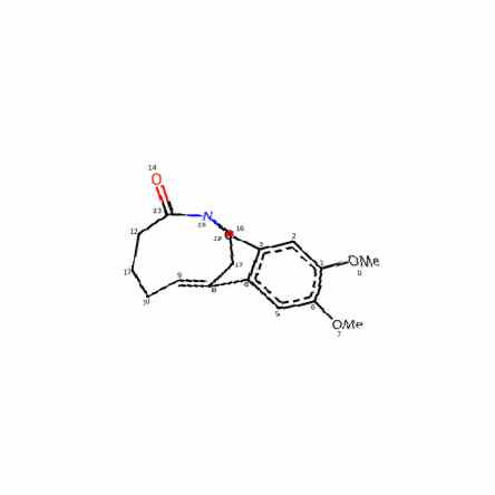 COc1cc2c(cc1OC)/C1=C\CCCC(=O)N(CC1)C2